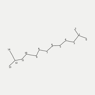 CC(C)CCC[CH]CCCCCC(C)C